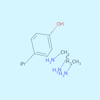 CC(C)c1ccc(O)cc1.CN.CN.CN